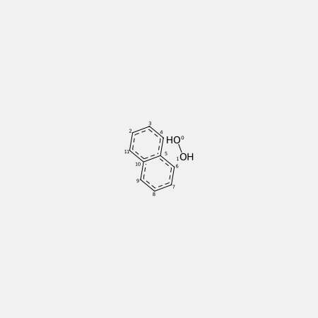 OO.c1ccc2ccccc2c1